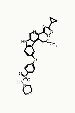 COCc1c(-c2nc(C3CC3)no2)ncc2[nH]c3ccc(Oc4ccc(S(=O)(=O)NN5CCOCC5)cc4)cc3c12